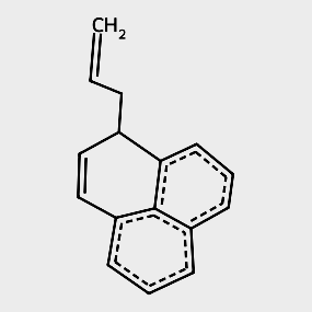 C=CCC1C=Cc2cccc3cccc1c23